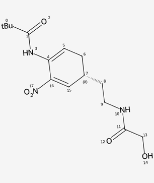 CC(C)(C)C(=O)NC1=CC[C@H](CCNC(=O)CO)C=C1[N+](=O)[O-]